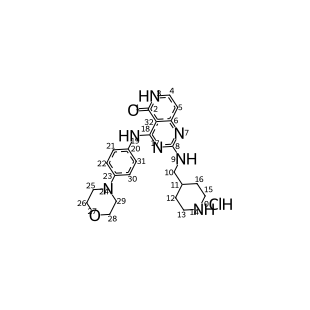 Cl.O=c1[nH]ccc2nc(NCC3CCNCC3)nc(Nc3ccc(N4CCOCC4)cc3)c12